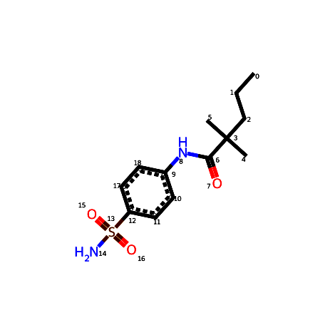 CCCC(C)(C)C(=O)Nc1ccc(S(N)(=O)=O)cc1